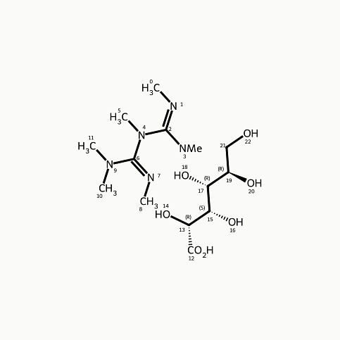 CN=C(NC)N(C)C(=NC)N(C)C.O=C(O)[C@H](O)[C@@H](O)[C@H](O)[C@H](O)CO